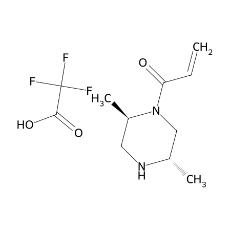 C=CC(=O)N1C[C@H](C)NC[C@H]1C.O=C(O)C(F)(F)F